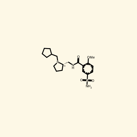 COc1ccc(S(N)(=O)=O)cc1C(=O)NC[C@@H]1CCCN1CC1CCCC1